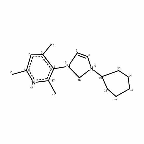 Cc1cc(C)c(N2C=CN(C3CCCCC3)C2)c(C)n1